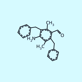 Cc1c(C=O)c(Cc2ccccc2)c(C)c(N)c1Cc1ccccc1